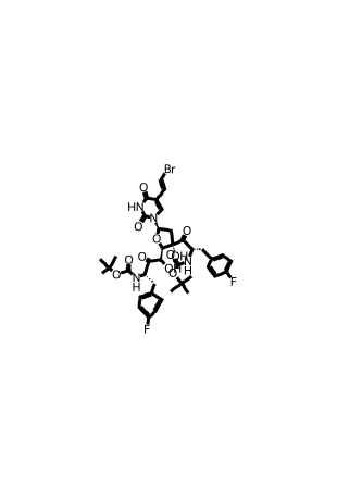 CC(C)(C)OC(=O)N[C@@H](Cc1ccc(F)cc1)C(=O)C(O)[C@H]1O[C@@H](n2cc(/C=C/Br)c(=O)[nH]c2=O)C[C@@]1(O)C(=O)[C@H](Cc1ccc(F)cc1)NC(=O)OC(C)(C)C